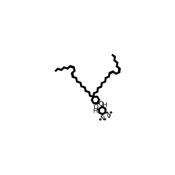 CCCCC/C=C\C/C=C\CCCCCCCCC1(CCCCCCCC/C=C\C/C=C\CCCCC)CCC2(CC1)O[C@H]1C[C@@H](N(C)C)[C@@H](N(C)C)C[C@@H]1O2